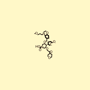 COCCCN1CCOc2ccc(CO[C@H]3CN(C(=O)O)C[C@@H](OCC4OC45CCOCC5)[C@@H]3c3ccc(OC)cc3)cc21